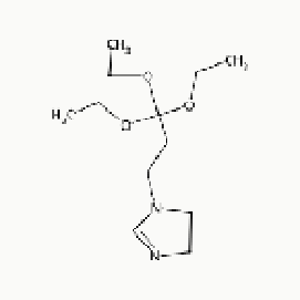 CCOC(CCN1C=NCC1)(OCC)OCC